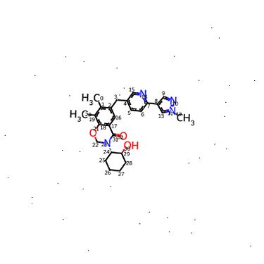 Cc1c(Cc2ccc(-c3cnn(C)c3)nc2)cc2c(c1C)OCN([C@H]1CCCC[C@@H]1O)C2=O